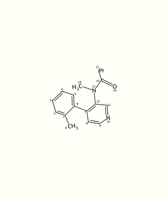 Cc1ccccc1-c1ccncc1N(C)C(=O)C(C)C